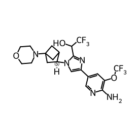 Nc1ncc(-c2cn([C@H]3CC4(N5CCOCC5)CC3C4)c(C(O)C(F)(F)F)n2)cc1OC(F)(F)F